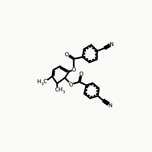 CC1=CC=C(OC(=O)c2ccc(C#N)cc2)C(OC(=O)c2ccc(C#N)cc2)C1C